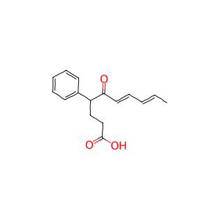 C/C=C/C=C/C(=O)C(CCC(=O)O)c1ccccc1